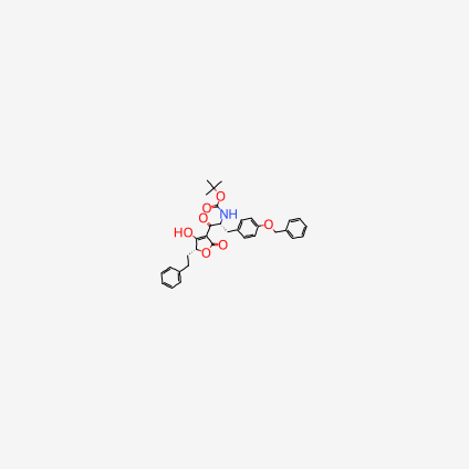 CC(C)(C)OC(=O)N[C@H](Cc1ccc(OCc2ccccc2)cc1)C(=O)C1=C(O)[C@@H](CCc2ccccc2)OC1=O